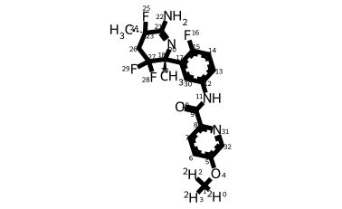 [2H]C([2H])([2H])Oc1ccc(C(=O)Nc2ccc(F)c([C@@]3(C)N=C(N)[C@](C)(F)CC3(F)F)c2)nc1